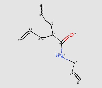 C=CCNC(=O)C(CC=C)CC=C